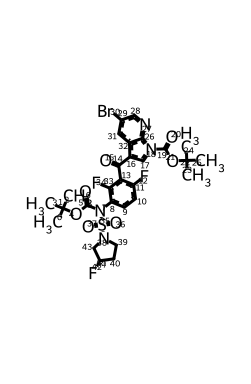 CC(C)(C)OC(=O)N(c1ccc(F)c(C(=O)c2cn(C(=O)OC(C)(C)C)c3ncc(Br)cc23)c1F)S(=O)(=O)N1CC[C@@H](F)C1